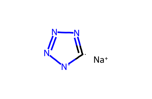 [Na+].[c]1nnn[n-]1